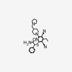 CCc1c(C#N)c(SC(C(N)=O)c2ccccc2)nc(N2CCC(CN3CCCC3)CC2)c1C#N